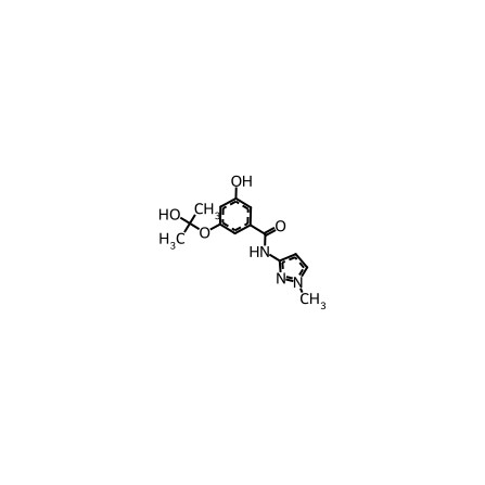 Cn1ccc(NC(=O)c2cc(O)cc(OC(C)(C)O)c2)n1